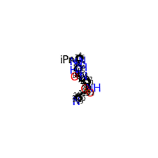 CC(C)Nc1cccnc1N1CCN(C(=O)c2cc3cc(NS(=O)(=O)CCc4ccncc4)ccc3[nH]2)CC1